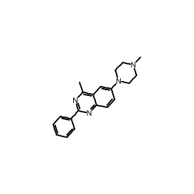 Cc1nc(-c2ccccc2)nc2ccc(N3CCN(C)CC3)cc12